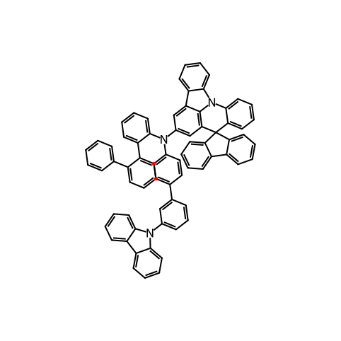 c1ccc(-c2ccccc2-c2ccccc2N(c2ccc(-c3cccc(-n4c5ccccc5c5ccccc54)c3)cc2)c2cc3c4c(c2)c2ccccc2n4-c2ccccc2C32c3ccccc3-c3ccccc32)cc1